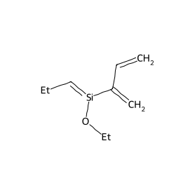 C=CC(=C)[Si](=CCC)OCC